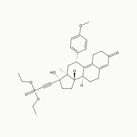 CCOP(=O)(C#C[C@]1(O)CC[C@H]2[C@@H]3CCC4=CC(=O)CCC4=C3[C@@H](c3ccc(OC)cc3)C[C@@]21C)OCC